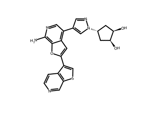 Nc1ncc(-c2cnn([C@@H]3C[C@@H](O)[C@@H](O)C3)c2)c2cc(-c3csc4cnccc34)oc12